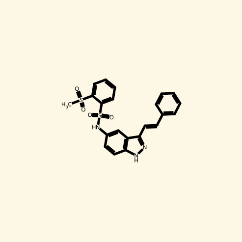 CS(=O)(=O)c1ccccc1S(=O)(=O)Nc1ccc2[nH]nc(C=Cc3ccccc3)c2c1